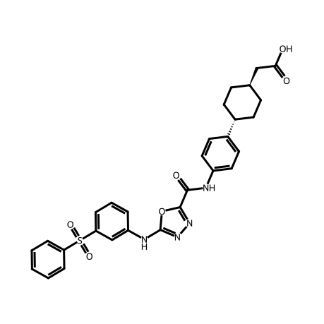 O=C(O)C[C@H]1CC[C@H](c2ccc(NC(=O)c3nnc(Nc4cccc(S(=O)(=O)c5ccccc5)c4)o3)cc2)CC1